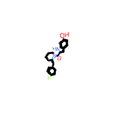 O=C(c1cc2ccc(O)cc2[nH]1)N1CCCCC1Cc1ccc(F)cc1